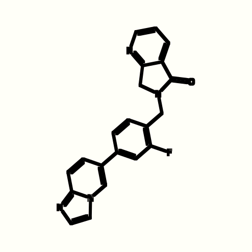 O=C1c2cccnc2CN1Cc1ccc(-c2ccc3nccn3c2)cc1F